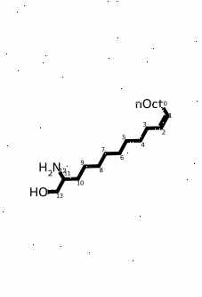 CCCCCCCC/C=C\CCCCCCCCC(N)CO